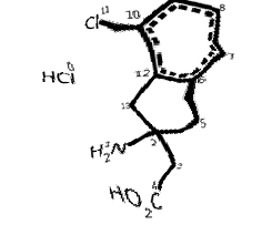 Cl.NC1(CC(=O)O)Cc2cccc(Cl)c2C1